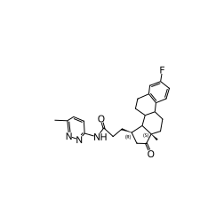 Cc1ccc(NC(=O)CC[C@@H]2CC(=O)[C@@]3(C)CCC4c5ccc(F)cc5CCC4C23)nn1